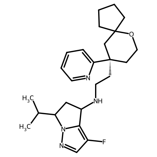 CC(C)C1CC(NCC[C@@]2(c3ccccn3)CCOC3(CCCC3)C2)c2c(F)cnn21